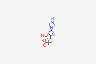 COC(=O)[C@@]1(C)CSC(c2ncc(N3CCNCC3)cc2O)=N1